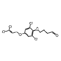 O=CCCCOc1c(Cl)cc(OCC=C(Cl)Cl)cc1Cl